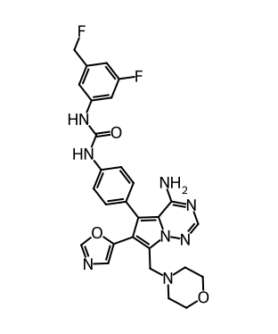 Nc1ncnn2c(CN3CCOCC3)c(-c3cnco3)c(-c3ccc(NC(=O)Nc4cc(F)cc(CF)c4)cc3)c12